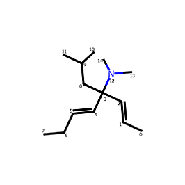 CC=CC(C=CCC)(CC(C)C)N(C)C